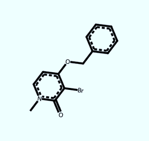 Cn1ccc(OCc2ccccc2)c(Br)c1=O